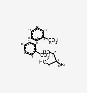 CCC(C)C(CO)CO.O=C(O)c1ccccc1.O=C(O)c1ccccc1